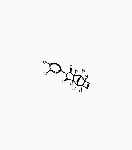 O=C1[C@@H]2[C@@H]3C=C[C@@H]([C@H]4C=C[C@H]43)[C@@H]2C(=O)N1c1ccc(Cl)c(Cl)c1